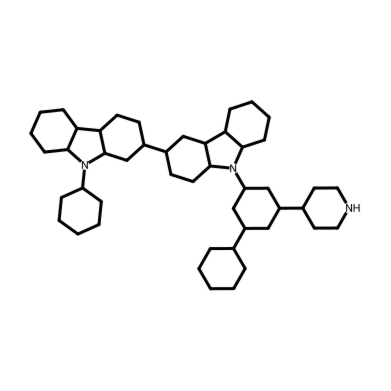 C1CCC(C2CC(C3CCNCC3)CC(N3C4CCCCC4C4CC(C5CCC6C7CCCCC7N(C7CCCCC7)C6C5)CCC43)C2)CC1